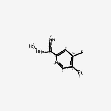 CCc1cnc(C(=N)NO)cc1C